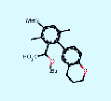 CNc1cc(C)c(-c2ccc3c(c2)CCCO3)c(C(OC(C)(C)C)C(=O)O)c1C